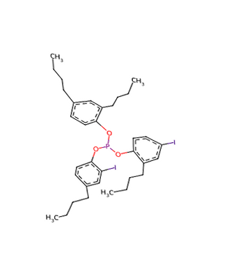 CCCCc1ccc(OP(Oc2ccc(I)cc2CCCC)Oc2ccc(CCCC)cc2CCCC)c(I)c1